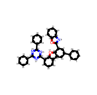 c1ccc(-c2cc(-c3nc4ccccc4o3)c3oc4c(-c5nc(-c6ccccc6)nc(-c6ccccc6)n5)cccc4c3c2)cc1